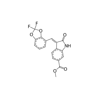 COC(=O)c1ccc2c(c1)NC(=O)/C2=C/c1cccc2c1OC(F)(F)O2